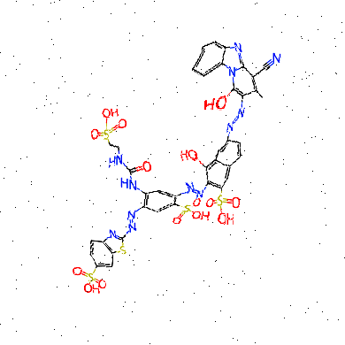 Cc1c(N=Nc2ccc3cc(S(=O)(=O)O)c(N=Nc4cc(NC(=O)NCCS(=O)(=O)O)c(N=Nc5nc6ccc(S(=O)(=O)O)cc6s5)cc4S(=O)(=O)O)c(O)c3c2)c(O)n2c(nc3ccccc32)c1C#N